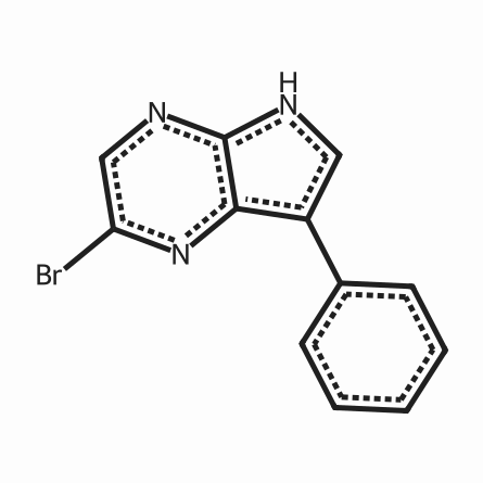 Brc1cnc2[nH]cc(-c3ccccc3)c2n1